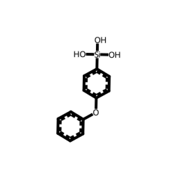 O[Si](O)(O)c1ccc(Oc2ccccc2)cc1